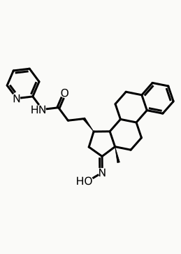 C[C@]12CCC3c4ccccc4CCC3C1[C@H](CCC(=O)Nc1ccccn1)C/C2=N\O